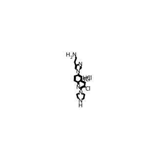 Cl.Cl.NCCc1cn(-c2ccc3nc(N4CCNCC4)c(Cl)cc3c2)cn1